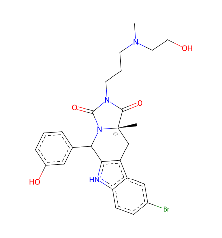 CN(CCO)CCCN1C(=O)N2C(c3cccc(O)c3)c3[nH]c4ccc(Br)cc4c3C[C@@]2(C)C1=O